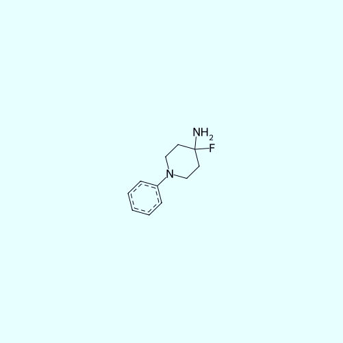 NC1(F)CCN(c2ccccc2)CC1